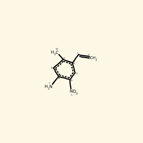 C=Cc1cc([N+](=O)[O-])c(N)cc1C